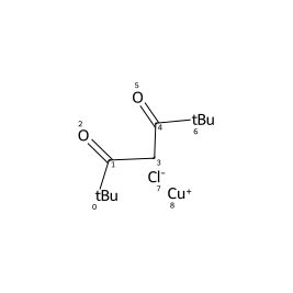 CC(C)(C)C(=O)CC(=O)C(C)(C)C.[Cl-].[Cu+]